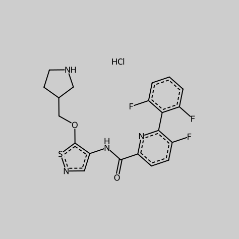 Cl.O=C(Nc1cnsc1OCC1CCNC1)c1ccc(F)c(-c2c(F)cccc2F)n1